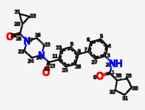 O=C(Nc1cccc(-c2ccc(C(=O)N3CCN(C(=O)C4CC4)CC3)cc2)c1)C1CCCC1